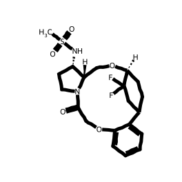 CS(=O)(=O)N[C@H]1CCN2C(=O)COc3ccccc3C3CC[C@H](OC[C@@H]12)C(F)(F)C3